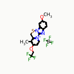 COc1ccc2nc3n(c2c1)SCc1c(C)c(OCC(F)(F)F)cc[n+]1-3.F[B-](F)(F)F